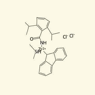 CC(C)c1cccc(C(C)C)c1C(=O)[NH][Zr+2]([CH]1c2ccccc2-c2ccccc21)[SiH](C)C.[Cl-].[Cl-]